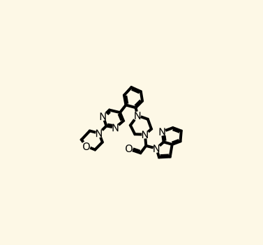 O=CC(N1CCN(c2ccccc2-c2cnc(N3CCOCC3)nc2)CC1)n1ccc2cccnc21